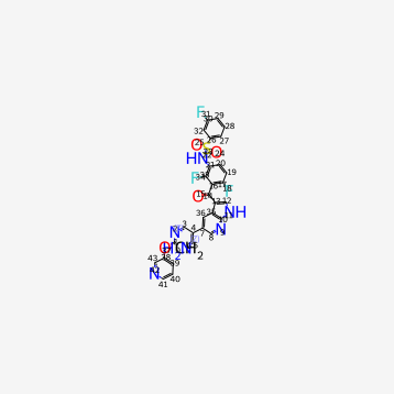 C=C(/N=C\C(=C/N)c1cnc2[nH]cc(C(=O)c3c(F)ccc(NS(=O)(=O)c4cccc(F)c4)c3F)c2c1)Oc1cccnc1